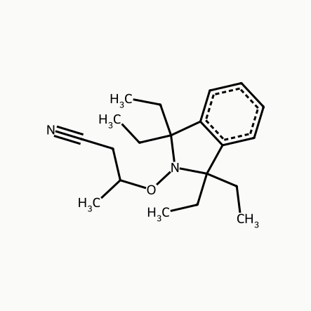 CCC1(CC)c2ccccc2C(CC)(CC)N1OC(C)CC#N